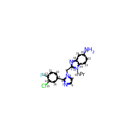 CCCn1c(Cn2ccnc2-c2ccc(F)c(Cl)c2)nc2cc(N)ccc21